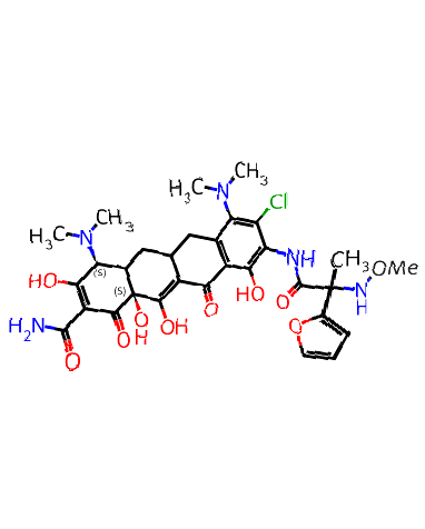 CONC(C)(C(=O)Nc1c(O)c2c(c(N(C)C)c1Cl)CC1CC3[C@H](N(C)C)C(O)=C(C(N)=O)C(=O)[C@@]3(O)C(O)=C1C2=O)c1ccco1